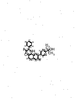 CC(C)(O)c1ncc(-c2nc3c(NC(c4ccccc4)C(F)F)c(Cl)cnc3cc2F)cn1